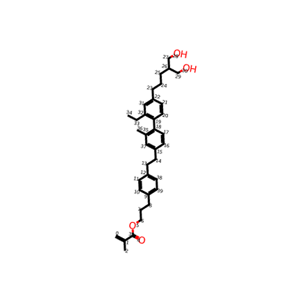 C=C(C)C(=O)OCCCc1ccc(CCc2ccc(-c3ccc(CCCC(CO)CO)cc3CC)c(C)c2)cc1